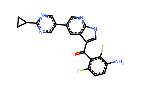 Nc1ccc(F)c(C(=O)C2=C[N]c3ncc(-c4cnc(C5CC5)nc4)cc32)c1F